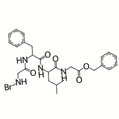 CC(C)CC(NC(=O)C(Cc1ccccc1)NC(=O)CNBr)C(=O)NCC(=O)OCc1ccccc1